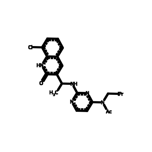 CC(=O)N(CC(C)C)c1ccnc(NC(C)c2cc3cccc(Cl)c3[nH]c2=O)n1